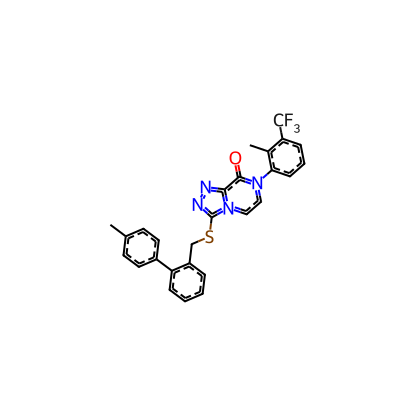 Cc1ccc(-c2ccccc2CSc2nnc3c(=O)n(-c4cccc(C(F)(F)F)c4C)ccn23)cc1